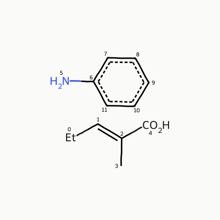 CCC=C(C)C(=O)O.Nc1ccccc1